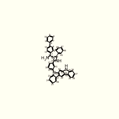 NC(c1ccc(-c2ccccc2)cc1)N1C(c2cccc(-n3c4ccccc4c4cc5c(cc43)[nH]c3ccccc35)c2)N[C@@H]1c1ccccc1